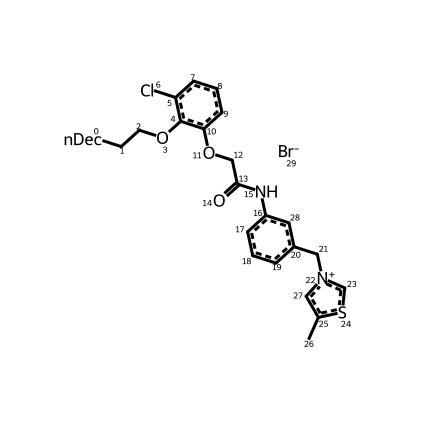 CCCCCCCCCCCCOc1c(Cl)cccc1OCC(=O)Nc1cccc(C[n+]2csc(C)c2)c1.[Br-]